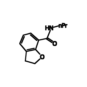 CCCNC(=O)c1cccc2c1OCC2